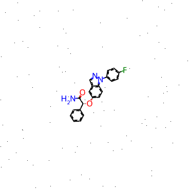 NC(=O)[C@H](Oc1ccc2c(cnn2-c2ccc(F)cc2)c1)c1ccccc1